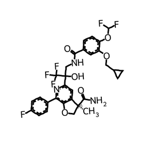 C[C@]1(C(N)=O)COc2c1cc(C(O)(CNC(=O)c1ccc(OC(F)F)c(OCC3CC3)c1)C(F)(F)F)nc2-c1ccc(F)cc1